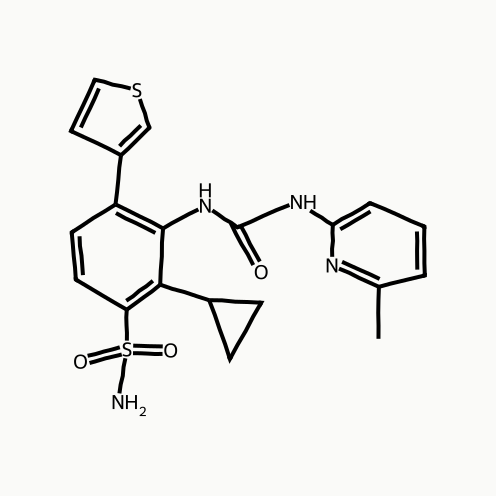 Cc1cccc(NC(=O)Nc2c(-c3ccsc3)ccc(S(N)(=O)=O)c2C2CC2)n1